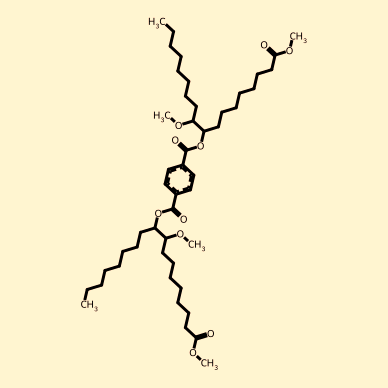 CCCCCCCCC(OC)C(CCCCCCCC(=O)OC)OC(=O)c1ccc(C(=O)OC(CCCCCCCC)C(CCCCCCCC(=O)OC)OC)cc1